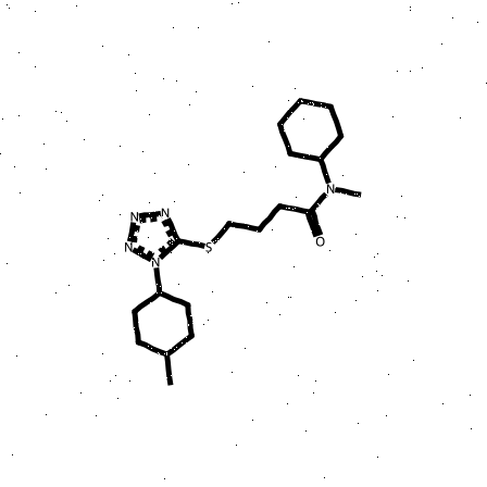 CC1CCC(n2nnnc2SCCCC(=O)N(C)C2CCCCC2)CC1